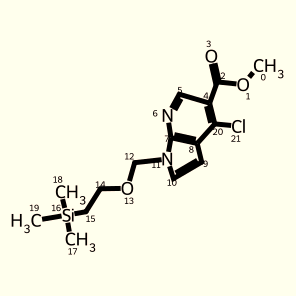 COC(=O)c1cnc2c(ccn2COCC[Si](C)(C)C)c1Cl